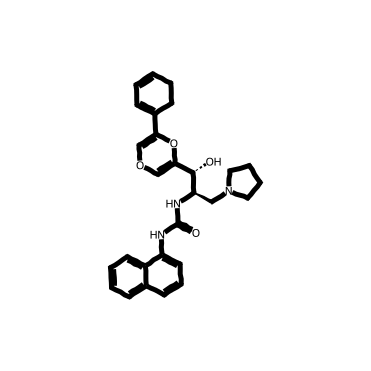 O=C(Nc1cccc2ccccc12)N[C@H](CN1CCCC1)[C@@H](O)C1=COC=C(C2=CC=CCC2)O1